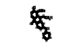 CSc1c(Cl)ccc2c(=O)c3ccc(Nc4ncccn4)cc3n(CC(=O)O)c12